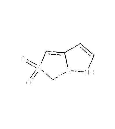 O=S1(=O)C=C2C=CNN2C1